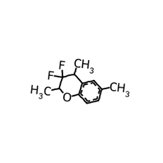 Cc1ccc2c(c1)C(C)C(F)(F)C(C)O2